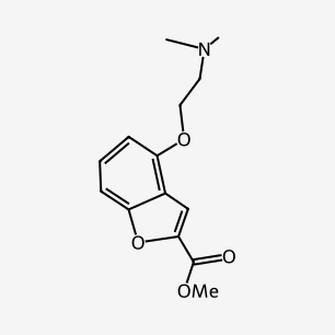 COC(=O)c1cc2c(OCCN(C)C)cccc2o1